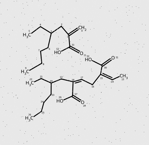 C=C(CC(CC)CCCC)C(=O)O.CC=C(CC=C(CC(CC)CCCC)C(=O)O)C(=O)O